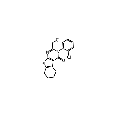 O=c1c2c3c(sc2nc(CCl)n1-c1ccccc1Cl)CCCC3